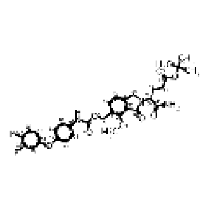 COc1c(COC(=O)Nc2ccc(Oc3ccc(F)c(F)c3)cc2)ccc2c1C(=O)N([C@@H](CCC(=O)OC(C)(C)C)C(N)=O)C2